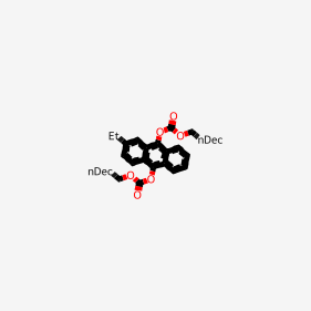 CCCCCCCCCCCOC(=O)Oc1c2ccccc2c(OC(=O)OCCCCCCCCCCC)c2cc(CC)ccc12